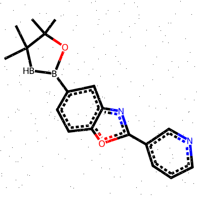 CC1(C)BB(c2ccc3oc(-c4cccnc4)nc3c2)OC1(C)C